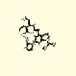 C/C=C\C(=C(C)C)/C(=C\N)CCNc1nc(-n2ccnc2C)nc2c1NCN2C(C)C